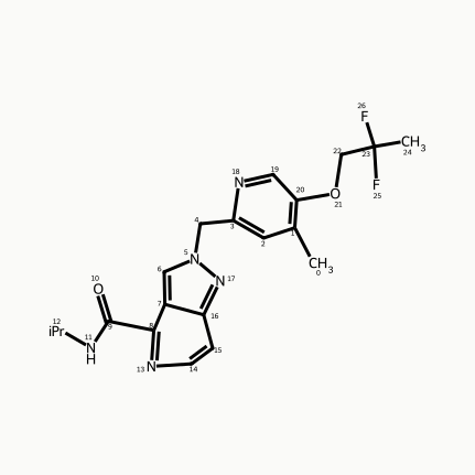 Cc1cc(Cn2cc3c(C(=O)NC(C)C)nccc3n2)ncc1OCC(C)(F)F